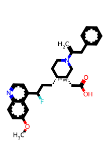 C=C(Cc1ccccc1)N1CC[C@@H](CCC(F)c2ccnc3ccc(OC)cc23)[C@@H](CC(=O)O)C1